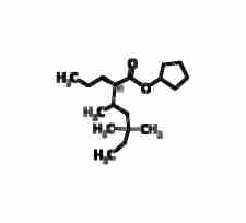 CCC[C@@H](C(=O)OC1CCCC1)C(C)CC(C)(C)CC